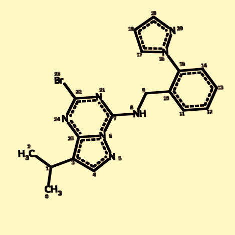 CC(C)c1cnn2c(NCc3ccccc3-n3cccn3)nc(Br)nc12